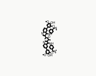 COc1cc(-c2ccc3ncc(C(C)C(=O)C(C)c4cnc5ccc(-c6cc(Cl)c(O)c(OC)c6)cc5c4Nc4ccc(CN(C)C)cc4)c(Nc4ccc(CN(C)C)cc4)c3c2)cc(Cl)c1O